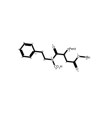 CCCCCC(CC(=O)OC(C)(C)C)C(=O)N(CCc1ccccc1)C(=O)O